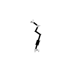 [CH2]C#CCCOC(C)=O